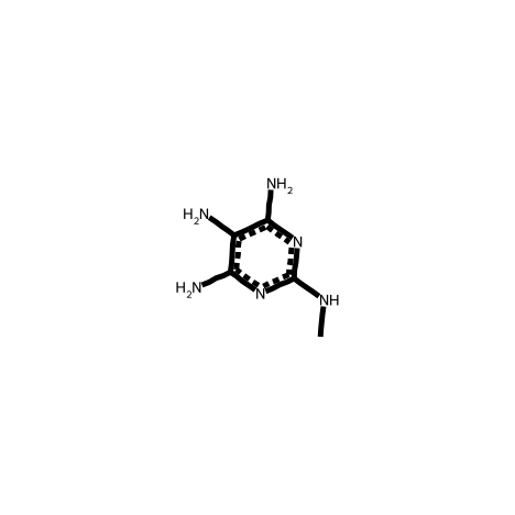 CNc1nc(N)c(N)c(N)n1